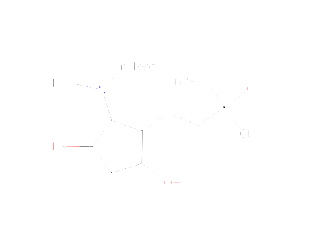 CCCCCCCN(C)C1C(O)CC(O)C1OCC(C)(O)CCCCC